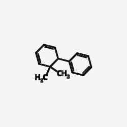 CC1(C)C=CC=CC1c1ccccc1